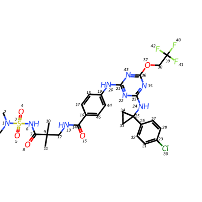 CN(C)S(=O)(=O)NC(=O)C(C)(C)CNC(=O)c1ccc(Nc2nc(NC3(c4ccc(Cl)cc4)CC3)nc(OCC(F)(F)F)n2)cc1